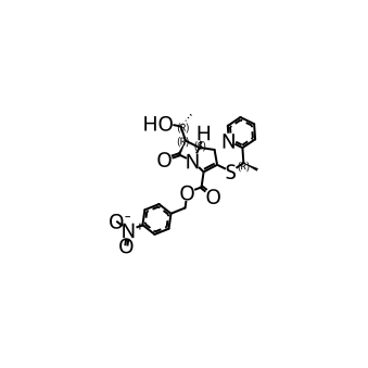 C[C@@H](SC1=C(C(=O)OCc2ccc([N+](=O)[O-])cc2)N2C(=O)[C@@H]([C@@H](C)O)[C@@H]2C1)c1ccccn1